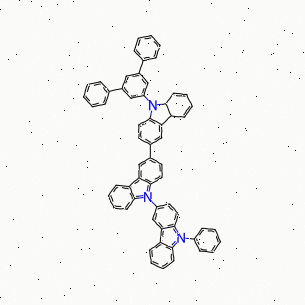 C1=CC2c3cc(-c4ccc5c(c4)c4ccccc4n5-c4ccc5c(c4)c4ccccc4n5-c4ccccc4)ccc3N(c3cc(-c4ccccc4)cc(-c4ccccc4)c3)C2C=C1